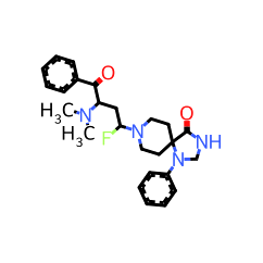 CN(C)C(CC(F)N1CCC2(CC1)C(=O)NCN2c1ccccc1)C(=O)c1ccccc1